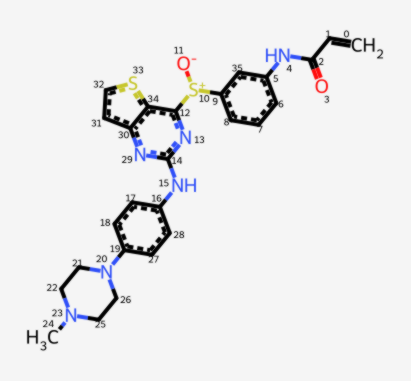 C=CC(=O)Nc1cccc([S+]([O-])c2nc(Nc3ccc(N4CCN(C)CC4)cc3)nc3ccsc23)c1